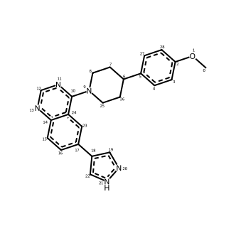 COc1ccc(C2CCN(c3ncnc4ccc(-c5cn[nH]c5)cc34)CC2)cc1